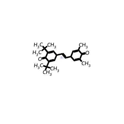 CC1=CC(/C=C/C2C=C(C(C)(C)C)C(=O)C(C(C)(C)C)=C2)C=C(C)C1=O